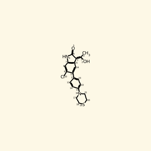 C/C(O)=C1\C(=O)Nc2cc(Cl)c(-c3ccc(N4CCSCC4)cc3)cc21